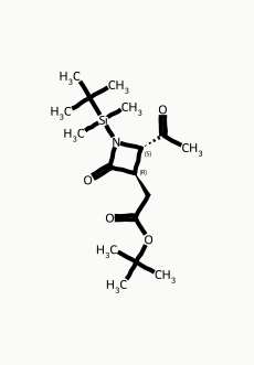 CC(=O)[C@@H]1[C@@H](CC(=O)OC(C)(C)C)C(=O)N1[Si](C)(C)C(C)(C)C